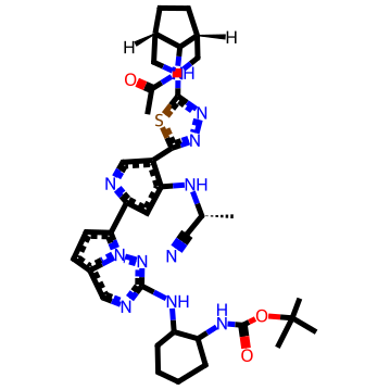 CC(=O)NC1[C@@H]2CC[C@H]1CN(c1nnc(-c3cnc(-c4ccc5cnc(NC6CCCCC6NC(=O)OC(C)(C)C)nn45)cc3N[C@H](C)C#N)s1)C2